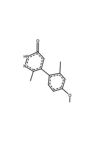 COc1ccc(-c2cc(=O)[nH]nc2C)c(C)c1